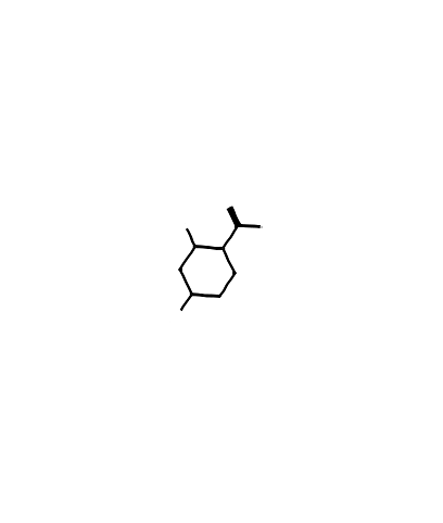 C=C(C)C1CCC(C)CC1S